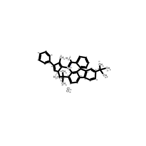 CC1=[C](/[Zr+2](=[C](\C)c2ccccc2)[c]2c(C(C)(C)C)ccc3c2Cc2cc(C(C)(C)C)ccc2-3)C(C)C=C1c1ccccc1.[Cl-].[Cl-]